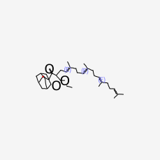 CCOC(=O)C(C/C=C(\C)CC/C=C(\C)CC/C=C(\C)CCC=C(C)C)C(=O)C12CC3CC(CC(C3)C1)C2